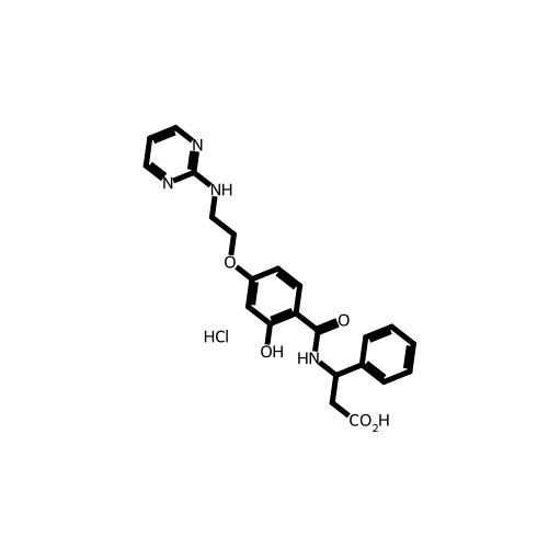 Cl.O=C(O)CC(NC(=O)c1ccc(OCCNc2ncccn2)cc1O)c1ccccc1